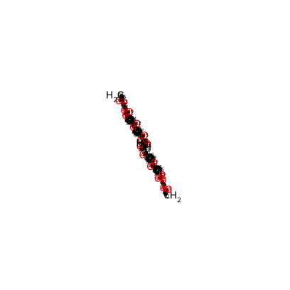 C=CC(=O)OCCOC(=O)Oc1ccc(C(=O)Oc2ccc(C(=O)C[C@@H]3CO[C@@H]4[C@H]3OC[C@H]4OC(=O)c3ccc(OC(=O)c4ccc(OC(=O)OCCOC(=O)C=C)cc4)cc3)cc2)cc1